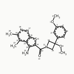 COc1cccc(C2(OC)CN(C(=O)c3sc4nnc(C)c(C)c4c3N)C2)c1